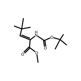 COC(=O)/C(=C/C(C)(C)C)NC(=O)OC(C)(C)C